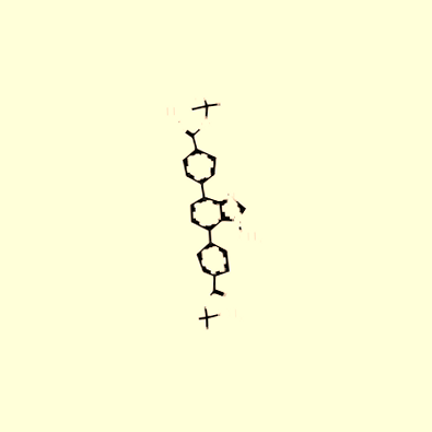 Cn1cnc2c(-c3ccc(C(=O)OC(C)(C)C)cc3)ccc(-c3ccc(C(=O)OC(C)(C)C)cc3)c21